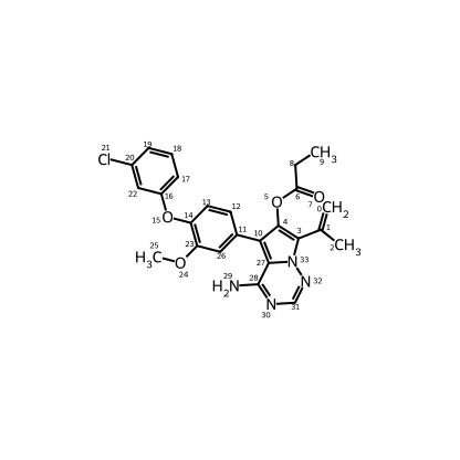 C=C(C)c1c(OC(=O)CC)c(-c2ccc(Oc3cccc(Cl)c3)c(OC)c2)c2c(N)ncnn12